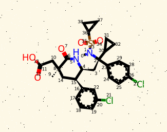 CN([C@@](C[C@@H]1NC(=O)[C@](C)(CC(=O)O)C[C@@H]1c1cccc(Cl)c1)(c1ccc(Cl)cc1)C1CC1)S(=O)(=O)C1CC1